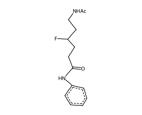 CC(=O)NCCC(F)CCC(=O)Nc1ccccc1